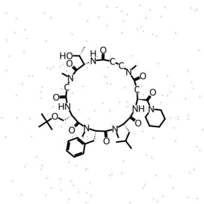 CC(C)C[C@H]1C(=O)N[C@H](C(=O)N2CCCCC2)CC(=O)N(C)CCC(=O)N[C@@H]([C@@H](C)O)C(=O)N(C)CC(=O)N[C@@H](COC(C)(C)C)C(=O)N(C)[C@@H](Cc2ccccc2)C(=O)N1C